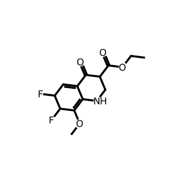 CCOC(=O)C1CNC2=C(OC)C(F)C(F)C=C2C1=O